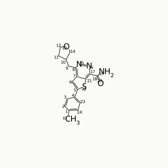 Cc1ccc(-c2cc3c(CC4CCOC4)nnc(C(N)=O)c3s2)cc1